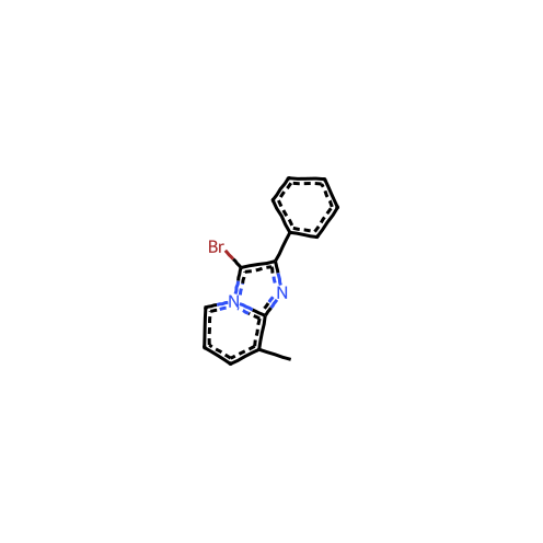 Cc1cccn2c(Br)c(-c3ccccc3)nc12